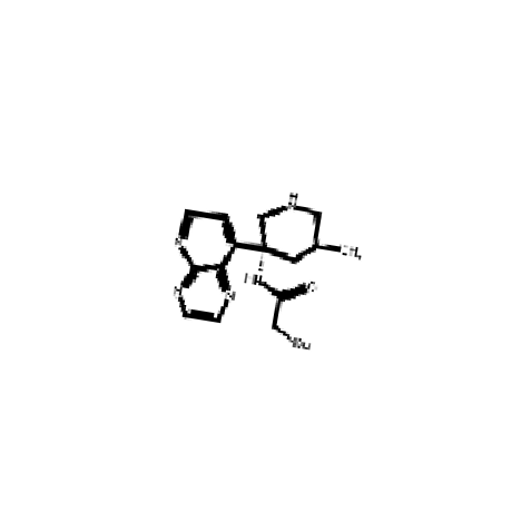 CC[C@H](C)CC(=O)N[C@]1(c2ccnc3nccnc23)CNC[C@@H](C)C1